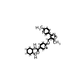 Cc1ccc(-c2noc(C)c2COc2ccc(C(=O)N[C@H]3CCCC[C@@H]3O)cn2)cn1